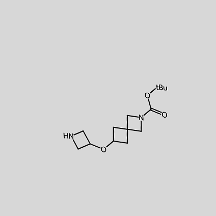 CC(C)(C)OC(=O)N1CC2(CC(OC3CNC3)C2)C1